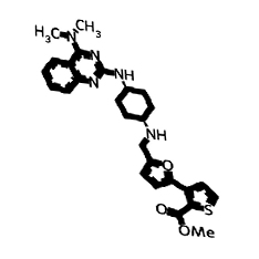 COC(=O)c1sccc1-c1ccc(CN[C@H]2CC[C@@H](Nc3nc(N(C)C)c4ccccc4n3)CC2)o1